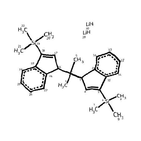 CC(C)(C1C=C([Si](C)(C)C)c2ccccc21)C1C=C([Si](C)(C)C)c2ccccc21.[LiH].[LiH]